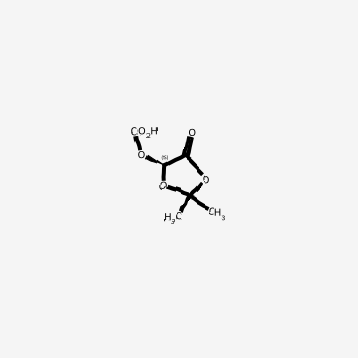 CC1(C)OC(=O)[C@H](OC(=O)O)O1